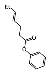 CC/C=C/CCC(=O)Oc1ccccc1